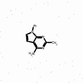 Cc1nc(N)c2ccn(C(C)C)c2n1